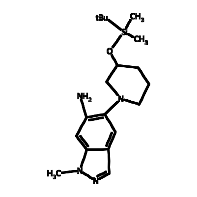 Cn1ncc2cc(N3CCCC(O[Si](C)(C)C(C)(C)C)C3)c(N)cc21